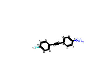 Nc1ccc(C#Cc2ccc(F)cc2)cc1